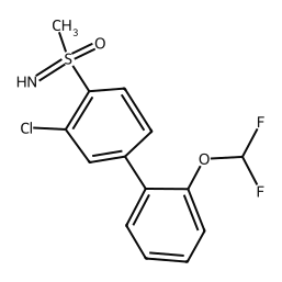 CS(=N)(=O)c1ccc(-c2ccccc2OC(F)F)cc1Cl